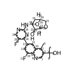 Cc1c(C(C)(C)O)cnc2c(F)cc(-c3nc(N[C@@H]4C[C@H]5CO[C@H](O5)[C@H]4O)ncc3F)cc12